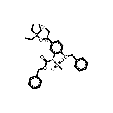 CC[Si](CC)(CC)O[C@@H](CBr)c1ccc(OCc2ccccc2)c(N(C(=O)OCc2ccccc2)S(C)(=O)=O)c1